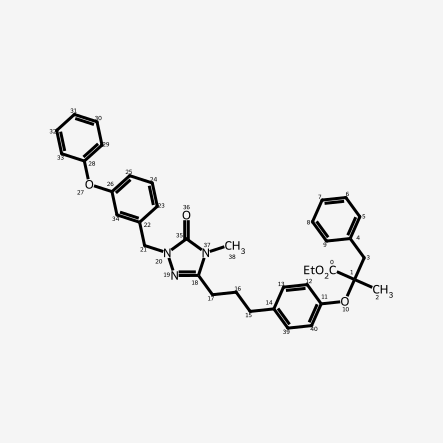 CCOC(=O)C(C)(Cc1ccccc1)Oc1ccc(CCCc2nn(Cc3cccc(Oc4ccccc4)c3)c(=O)n2C)cc1